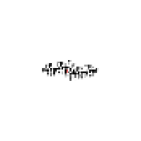 FC(F)(F)C(F)(F)C(F)(F)C(F)(F)C(F)(F)C(F)(F)C(F)(F)[AsH](F)(F)C(F)(F)C(F)(F)C(F)(F)C(F)(F)C(F)(F)C(F)(F)C(F)(F)F